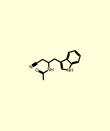 CC(=O)NC(CC#N)Cc1c[nH]c2ccccc12